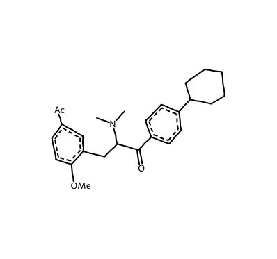 COc1ccc(C(C)=O)cc1CC(C(=O)c1ccc(C2CCCCC2)cc1)N(C)C